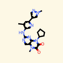 Cc1cc(-c2cnn(C)c2)ncc1Nc1ncc2c(n1)n(C1CCCC1)c(=O)c(=O)n2C